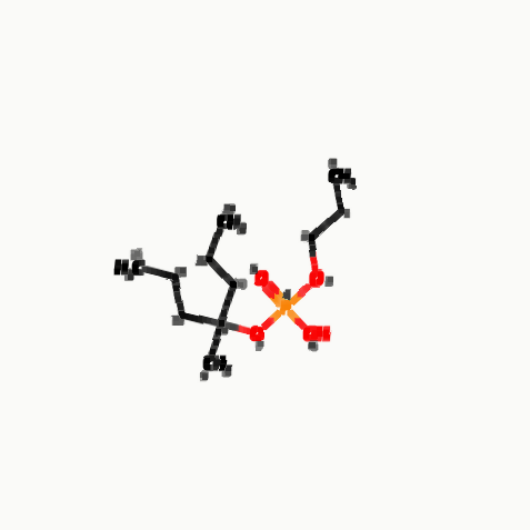 CCCOP(=O)(O)OC(C)(CCC)CCC